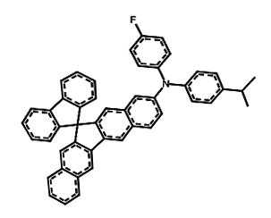 CC(C)c1ccc(N(c2ccc(F)cc2)c2ccc3cc4c(cc3c2)C2(c3ccccc3-c3ccccc32)c2cc3ccccc3cc2-4)cc1